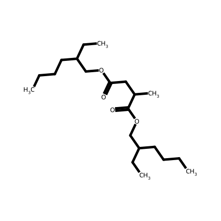 CCCCC(CC)COC(=O)CC(C)C(=O)OCC(CC)CCCC